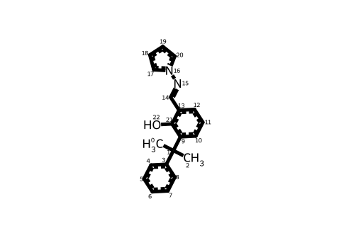 CC(C)(c1ccccc1)c1cccc(/C=N/n2cccc2)c1O